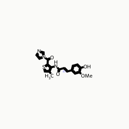 COc1cc(/C=C/C(=O)Nc2c(C)csc2C(=O)n2ccnc2)ccc1O